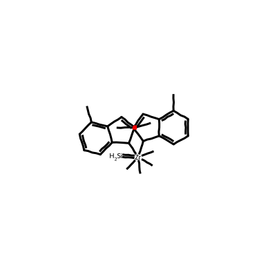 CC1=Cc2c(C)cccc2[CH]1[Zr]([CH3])([CH3])([CH3])([CH3])(=[SiH2])[CH]1C(C)=Cc2c(C)cccc21